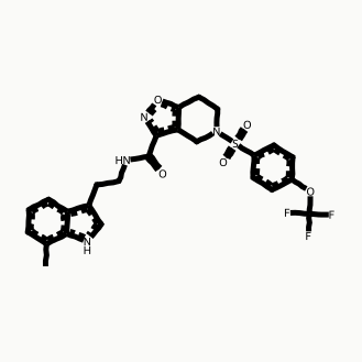 Cc1cccc2c(CCNC(=O)c3noc4c3CN(S(=O)(=O)c3ccc(OC(F)(F)F)cc3)CC4)c[nH]c12